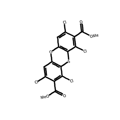 COC(=O)c1c(Cl)cc2c(c1Cl)Sc1c(cc(Cl)c(C(=O)OC)c1Cl)O2